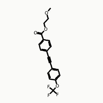 COCCOC(=O)c1ccc(C#Cc2ccc(OC(F)(F)F)cc2)cc1